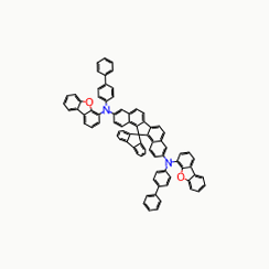 c1ccc(-c2ccc(N(c3ccc4c5c(ccc4c3)-c3ccc4cc(N(c6ccc(-c7ccccc7)cc6)c6cccc7c6oc6ccccc67)ccc4c3C53c4ccccc4-c4ccccc43)c3cccc4c3oc3ccccc34)cc2)cc1